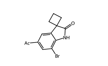 CC(=O)c1cc(Br)c2c(c1)C1(CCC1)C(=O)N2